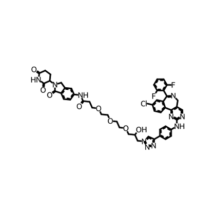 O=C1CCC(N2Cc3cc(NC(=O)CCOCCOCCOCC(O)Cn4cc(-c5ccc(Nc6ncc7c(n6)-c6ccc(Cl)cc6C(c6c(F)cccc6F)=NC7)cc5)nn4)ccc3C2=O)C(=O)N1